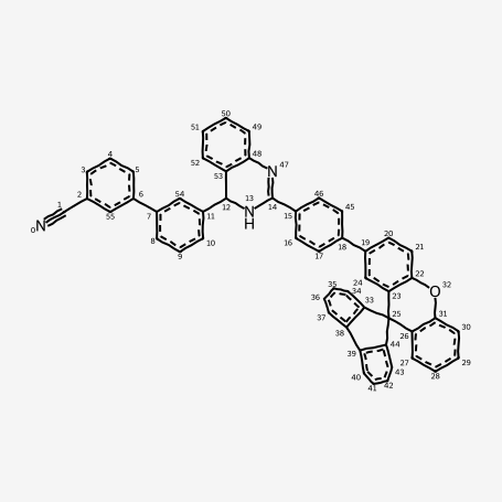 N#Cc1cccc(-c2cccc(C3NC(c4ccc(-c5ccc6c(c5)C5(c7ccccc7O6)c6ccccc6-c6ccccc65)cc4)=Nc4ccccc43)c2)c1